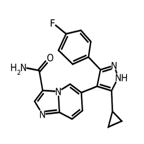 NC(=O)c1cnc2ccc(-c3c(-c4ccc(F)cc4)n[nH]c3C3CC3)cn12